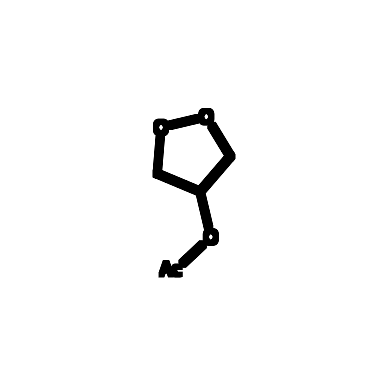 CC(=O)OC1COOC1